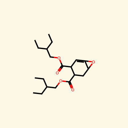 CCC(CC)COC(=O)C1C=C2OC2CC1C(=O)OCC(CC)CC